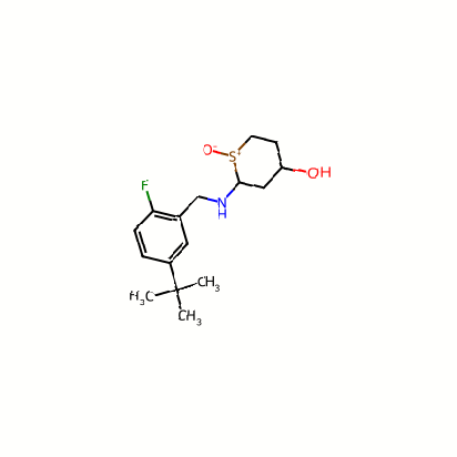 CC(C)(C)c1ccc(F)c(CNC2CC(O)CC[S+]2[O-])c1